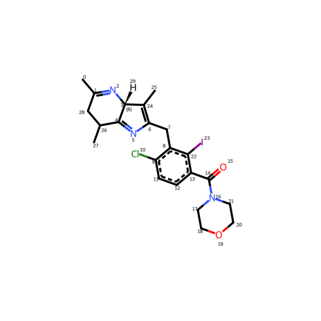 CC1=N[C@H]2C(=NC(Cc3c(Cl)ccc(C(=O)N4CCOCC4)c3I)=C2C)C(C)C1